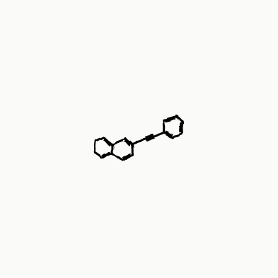 C(#Cc1ccc2c(c1)=CCCC=2)c1ccccc1